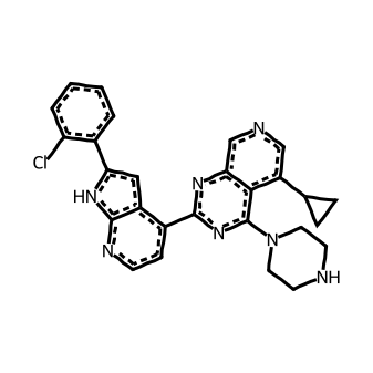 Clc1ccccc1-c1cc2c(-c3nc(N4CCNCC4)c4c(C5CC5)cncc4n3)ccnc2[nH]1